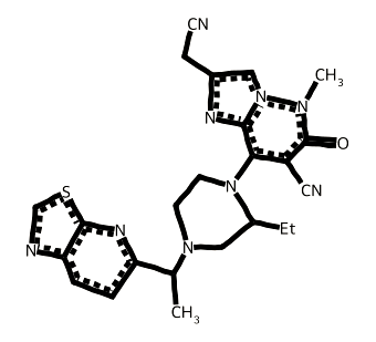 CCC1CN(C(C)c2ccc3ncsc3n2)CCN1c1c(C#N)c(=O)n(C)n2cc(CC#N)nc12